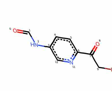 O=CNc1ccc(C(=O)CBr)nc1